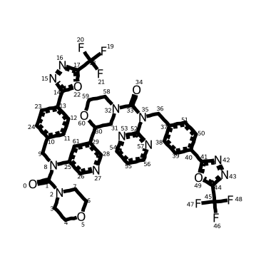 O=C(N1CCOCC1)N(Cc1ccc(-c2nnc(C(F)(F)F)o2)cc1)c1cncc(C2CN(C(=O)N(Cc3ccc(-c4nnc(C(F)(F)F)o4)cc3)c3ncccn3)CCO2)c1